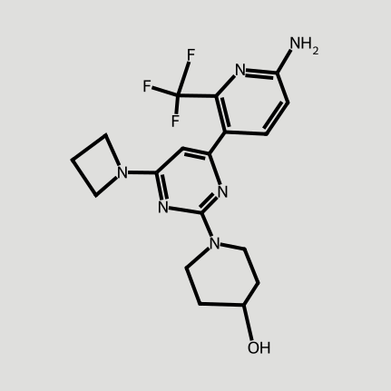 Nc1ccc(-c2cc(N3CCC3)nc(N3CCC(O)CC3)n2)c(C(F)(F)F)n1